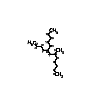 CCCCCC(C)[CH]C(CCCC)CCCCC